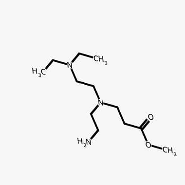 CCN(CC)CCN(CCN)CCC(=O)OC